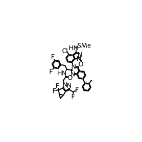 CSNc1nn(C)c2c(-n3c(C(Cc4cc(F)cc(F)c4)NC(=O)Cn4nc(C(F)F)c5c4C(F)(F)C4CC54)nc4cc(-c5ccccc5C)ccc4c3=O)ccc(Cl)c12